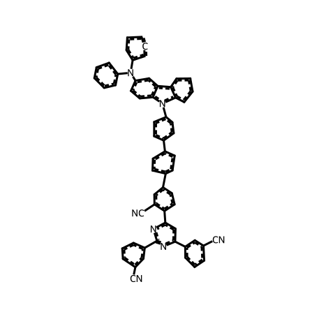 N#Cc1cccc(-c2cc(-c3ccc(-c4ccc(-c5ccc(-n6c7ccccc7c7cc(N(c8ccccc8)c8ccccc8)ccc76)cc5)cc4)cc3C#N)nc(-c3cccc(C#N)c3)n2)c1